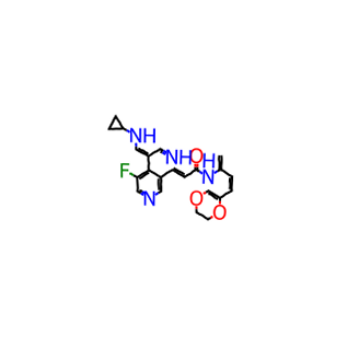 C=C(/C=C\C1=COCCO1)NC(=O)/C=C/c1cncc(F)c1/C(C=N)=C/NC1CC1